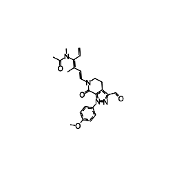 C=C/C(=C(C)\C=C\N1CCc2c(C=O)nn(-c3ccc(OC)cc3)c2C1=O)N(C)C(C)=O